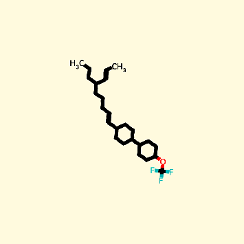 C/C=C/C(CCC)CCC/C=C/C1CCC(C2CCC(OC(F)(F)F)CC2)CC1